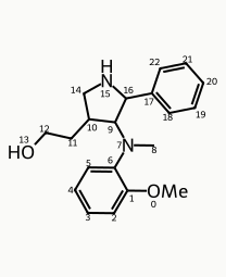 COc1ccccc1N(C)C1C(CCO)CNC1c1ccccc1